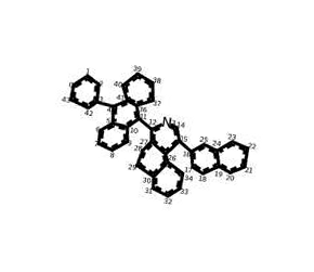 c1ccc(-c2c3ccccc3c(-c3ncc(-c4ccc5ccccc5c4)c4c3ccc3ccccc34)c3ccccc23)cc1